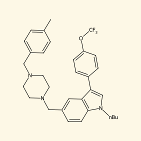 CCCCn1cc(-c2ccc(OC(F)(F)F)cc2)c2cc(CN3CCN(Cc4ccc(C)cc4)CC3)ccc21